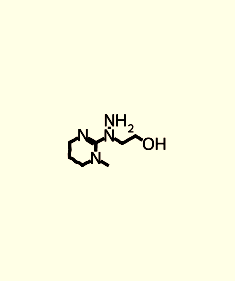 CN1CCCN=C1N(N)CCO